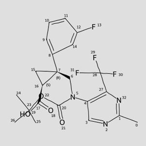 Cc1ncc(N(C[C@]2(c3cccc(F)c3)C[C@@H]2C(=O)O)C(=O)OC(C)(C)C)c(C(F)(F)F)n1